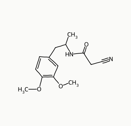 COc1ccc(CC(C)NC(=O)CC#N)cc1OC